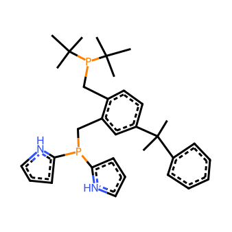 CC(C)(c1ccccc1)c1ccc(CP(C(C)(C)C)C(C)(C)C)c(CP(c2ccc[nH]2)c2ccc[nH]2)c1